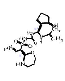 CC(C)N/C(NC(=O)NS(=O)(=O)/C(C=N)=C1/NCCCO1)=C1/CCCC1=N